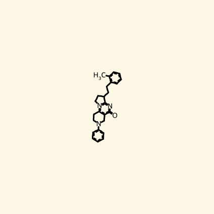 Cc1ccccc1CCC1CCn2c1nc(=O)c1c2CCN(c2ccccc2)C1